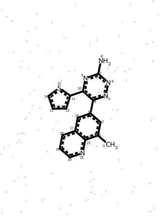 Cc1cc(-c2nnc(N)nc2-c2cccs2)cc2cccnc12